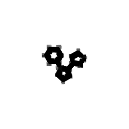 C1=CC(c2cccn2-c2ccccc2)=N[N]1